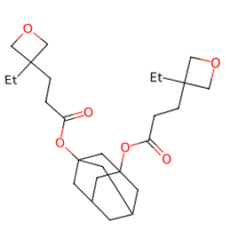 CCC1(CCC(=O)OC23CC4CC(C2)CC(OC(=O)CCC2(CC)COC2)(C4)C3)COC1